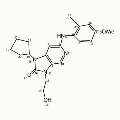 COc1ccc(Nc2cc3c(cn2)n(CCO)c(=O)n3C2CCCC2)c(C)c1